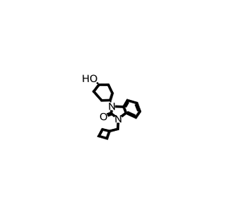 O=c1n(CC2CCC2)c2ccccc2n1[C@H]1CC[C@H](O)CC1